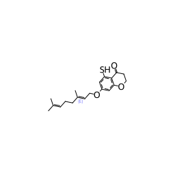 CC(C)=CCC/C(C)=C/COc1cc(S)c2c(c1)OCCC2=O